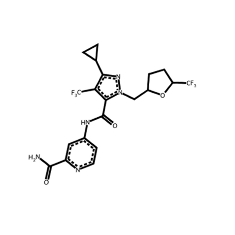 NC(=O)c1cc(NC(=O)c2c(C(F)(F)F)c(C3CC3)nn2CC2CCC(C(F)(F)F)O2)ccn1